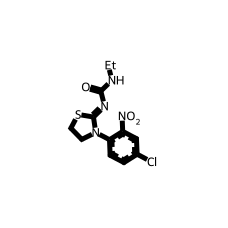 CCNC(=O)N=C1SCCN1c1ccc(Cl)cc1[N+](=O)[O-]